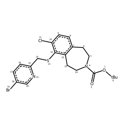 CC(C)(C)OC(=O)N1CCc2ccc(Cl)c(SCc3ccc(Br)cn3)c2CC1